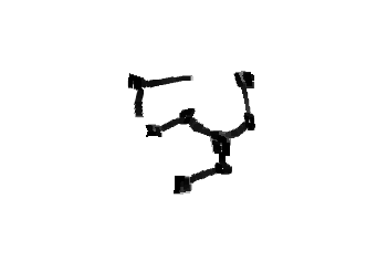 CCO[SiH](OCC)OCC.CPC